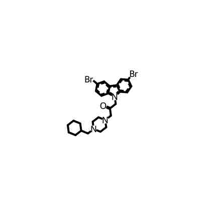 O=C(CN1CCN(CC2CCCCC2)CC1)Cn1c2ccc(Br)cc2c2cc(Br)ccc21